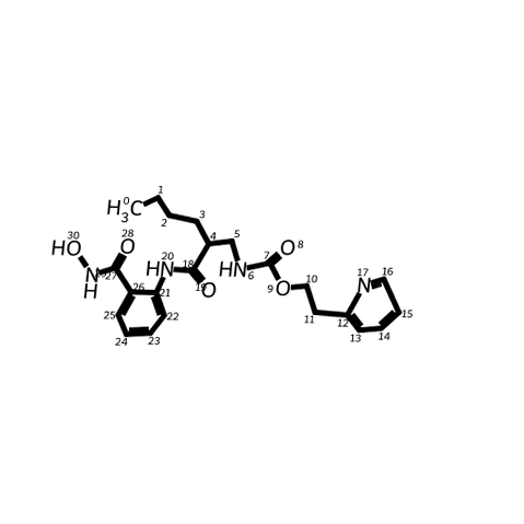 CCCCC(CNC(=O)OCCc1ccccn1)C(=O)Nc1ccccc1C(=O)NO